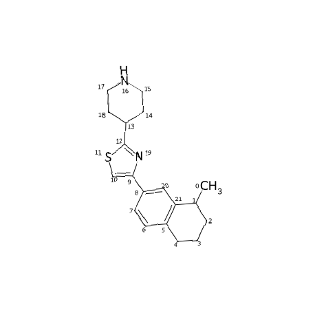 CC1CCCc2ccc(-c3csc(C4CCNCC4)n3)cc21